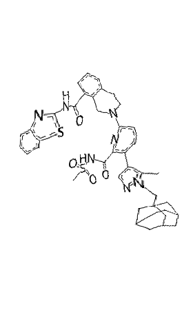 Cc1c(-c2ccc(N3CCc4cccc(C(=O)Nc5nc6ccccc6s5)c4C3)nc2C(=O)NS(C)(=O)=O)cnn1CC12CC3CC(CC(C3)C1)C2